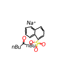 CCCCC(=O)CCCC.O=S(=O)([O-])c1cccc2ccccc12.[Na+]